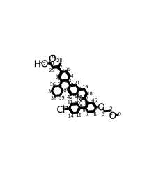 COCCOc1ccc(-c2ccc(Cl)cc2)c(-c2ccc3cc(-c4ccc(/C(C)=C/C(=O)O)cc4C4CCCCC4)ccc3n2)c1